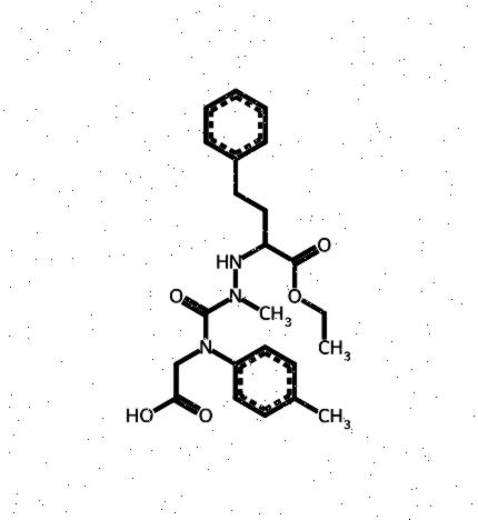 CCOC(=O)C(CCc1ccccc1)NN(C)C(=O)N(CC(=O)O)c1ccc(C)cc1